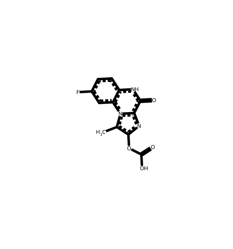 Cc1c(OC(=O)O)nc2c(=O)[nH]c3ccc(F)cc3n12